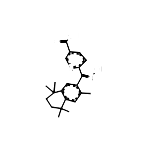 Cc1cc2c(cc1C(=NO)c1ccc(C(=O)O)cn1)C(C)(C)CCC2(C)C